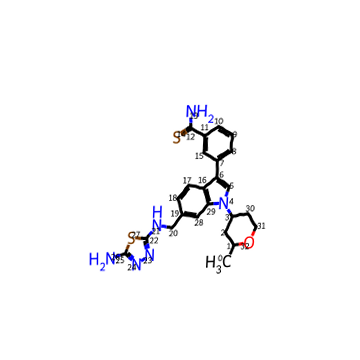 CC1CC(n2cc(-c3cccc(C(N)=S)c3)c3ccc(CNc4nnc(N)s4)cc32)CCO1